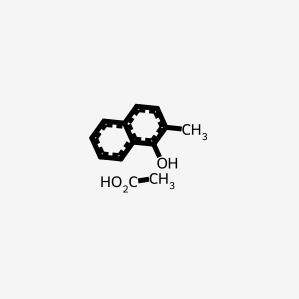 CC(=O)O.Cc1ccc2ccccc2c1O